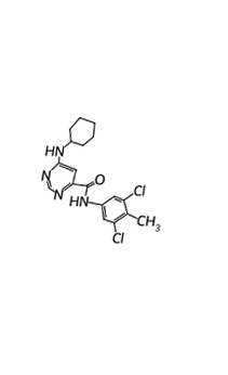 Cc1c(Cl)cc(NC(=O)c2cc(NC3CCCCC3)ncn2)cc1Cl